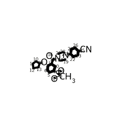 CS(=O)(=O)c1ccc(OC2CCCC2)c(C(=O)N2CCN(c3ccc(C#N)cc3)CC2)c1